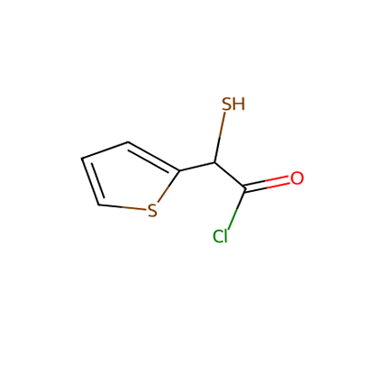 O=C(Cl)C(S)c1cccs1